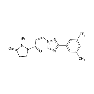 Cc1cc(-c2ncn(/C=C\C(=O)N3CCC(=O)N3C(C)C)n2)cc(C(F)(F)F)c1